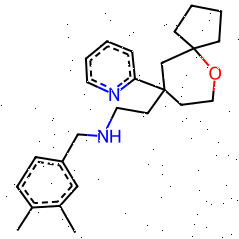 Cc1ccc(CNCCC2(c3ccccn3)CCOC3(CCCC3)C2)cc1C